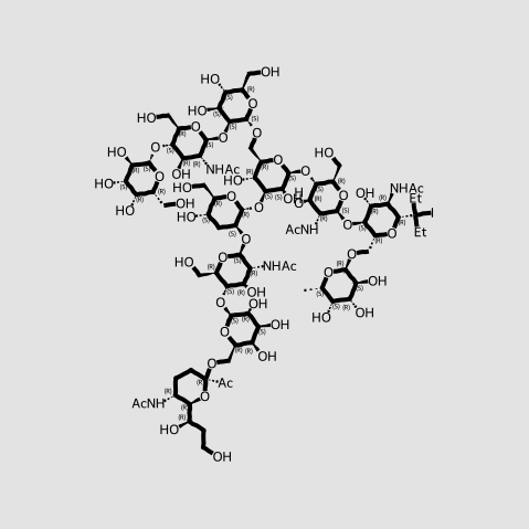 CCC(I)(CC)[C@@H]1O[C@H](CO[C@@H]2O[C@@H](C)[C@@H](O)[C@@H](O)[C@@H]2O)[C@@H](O[C@@H]2O[C@H](CO)[C@@H](O[C@@H]3O[C@H](CO[C@H]4O[C@H](CO)[C@@H](O)[C@H](O)[C@@H]4O[C@@H]4O[C@H](CO)[C@@H](O[C@@H]5O[C@H](CO)[C@H](O)[C@H](O)[C@H]5O)[C@H](O)[C@H]4NC(C)=O)[C@@H](O)[C@H](O[C@H]4O[C@H](CO)[C@@H](O)C[C@@H]4O[C@@H]4O[C@H](CO)[C@@H](O[C@@H]5O[C@H](CO[C@]6(C(C)=O)CC[C@@H](NC(C)=O)[C@H]([C@H](O)CCO)O6)[C@H](O)[C@H](O)[C@H]5O)[C@H](O)[C@H]4NC(C)=O)[C@@H]3O)[C@H](O)[C@H]2NC(C)=O)[C@H](O)[C@H]1NC(C)=O